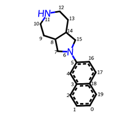 c1ccc2cc(N3CC4CCNCCC4C3)ccc2c1